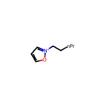 CCCCC[n+]1ccco1